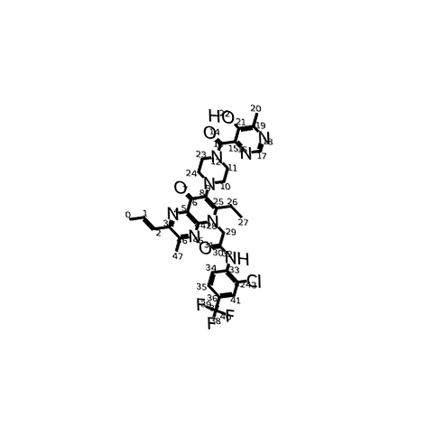 CC=Cc1nc2c(=O)c(N3CCN(C(=O)c4ncnc(C)c4O)CC3)c(CC)n(CC(=O)Nc3ccc(C(F)(F)F)cc3Cl)c2nc1C